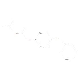 CC(C)OC(=O)Oc1ccc(Oc2ccccc2)cc1